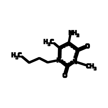 CCCCn1c(C)c(N)c(=O)n(C)c1=O